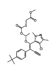 COC(=O)CSC(=O)OC(C)O/C(=C(/C#N)c1ccc(C(C)(C)C)cc1)c1c(Cl)c(C)nn1C